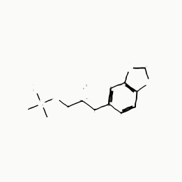 CC(C)(C)[Si](C)(C)OC[C@H](O)Cc1ccc2c(c1)OCO2